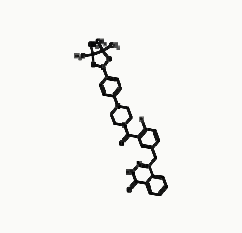 CC1(C)OB(c2ccc(N3CCN(C(=O)c4cc(Cc5n[nH]c(=O)c6ccccc56)ccc4F)CC3)cc2)OC1(C)C